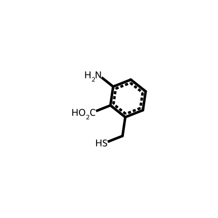 Nc1cccc(CS)c1C(=O)O